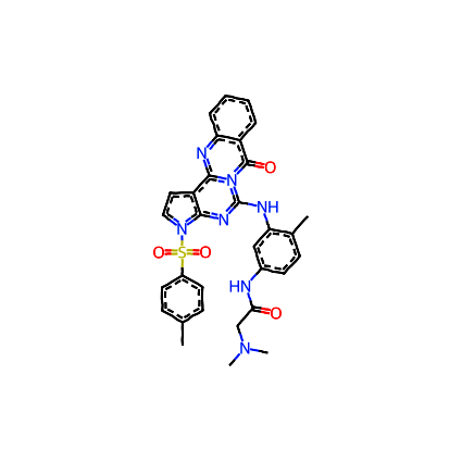 Cc1ccc(S(=O)(=O)n2ccc3c2nc(Nc2cc(NC(=O)CN(C)C)ccc2C)n2c(=O)c4ccccc4nc32)cc1